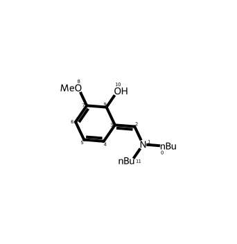 CCCCN(C=C1C=CC=C(OC)C1O)CCCC